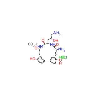 Cl.Cl.NC[C@H](O)C[C@@H]1NC(=O)[C@@H](N)Cc2cc(ccc2O)-c2ccc(O)c(c2)C[C@H](OC(=O)O)NC1=O